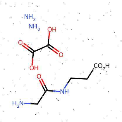 N.N.NCC(=O)NCCC(=O)O.O=C(O)C(=O)O